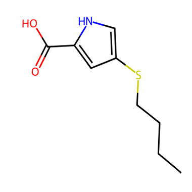 CCCCSc1c[nH]c(C(=O)O)c1